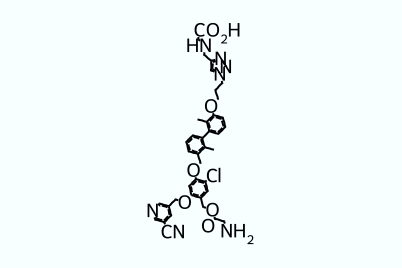 Cc1c(COc2cc(OCc3cncc(C#N)c3)c(COC(=O)CN)cc2Cl)cccc1-c1cccc(OCCCn2cc(CNCC(=O)O)nn2)c1C